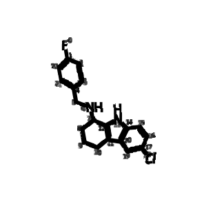 Fc1ccc(CNC2CCCc3c2[nH]c2ccc(Cl)cc32)cc1